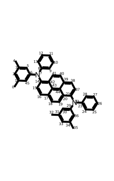 Cc1cc(C)cc(N(c2ccccc2)c2ccc3ccc4c(N(c5ccccc5)c5cc(C)cc(C)c5)ccc5ccc2c3c54)c1